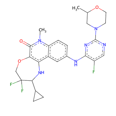 CC1CN(c2ncc(F)c(Nc3ccc4c(c3)c3c(c(=O)n4C)OCC(F)(F)C(C4CC4)N3)n2)CCO1